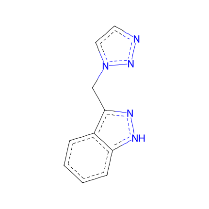 c1ccc2c(Cn3ccnn3)n[nH]c2c1